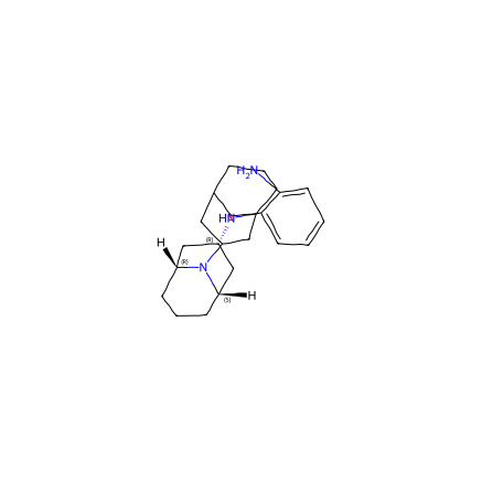 Nc1ccccc1N[C@H]1C[C@H]2CCC[C@@H](C1)N2C1CC2CCCC(C2)C1